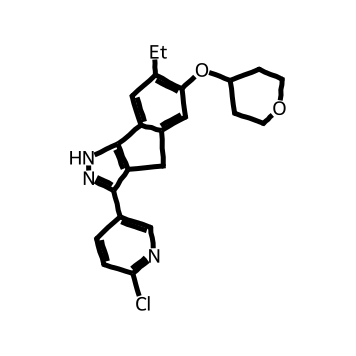 CCc1cc2c(cc1OC1CCOCC1)Cc1c(-c3ccc(Cl)nc3)n[nH]c1-2